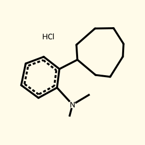 CN(C)c1ccccc1C1CCCCCCC1.Cl